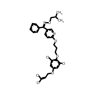 CC(C)CON=C(c1ccccc1)c1ccc(OCCCOc2c(Cl)cc(OCC=C(Cl)Cl)cc2Cl)nc1